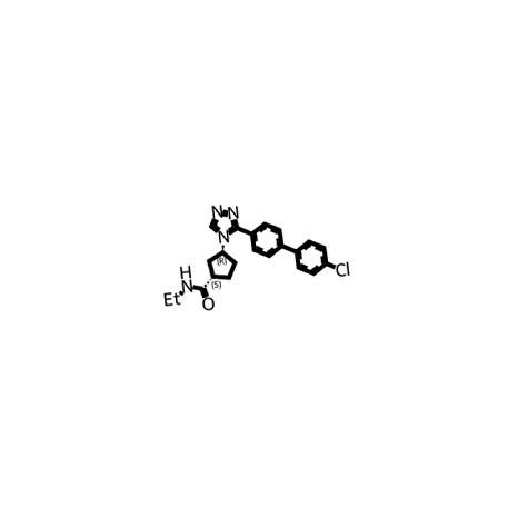 CCNC(=O)[C@H]1CC[C@@H](n2cnnc2-c2ccc(-c3ccc(Cl)cc3)cc2)C1